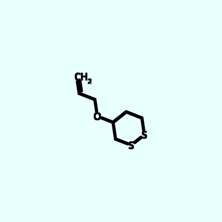 C=CCOC1CCSSC1